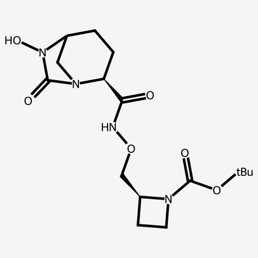 CC(C)(C)OC(=O)N1CC[C@H]1CONC(=O)[C@@H]1CCC2CN1C(=O)N2O